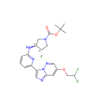 CC(C)(C)OC(=O)N1C[C@H](Nc2cccc(-c3cnc4cc(OCC(F)F)cnn34)n2)[C@@H](F)C1